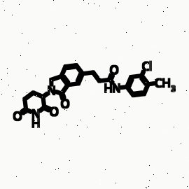 Cc1ccc(NC(=O)CCc2ccc3c(c2)C(=O)N(C2CCC(=O)NC2=O)C3)cc1Cl